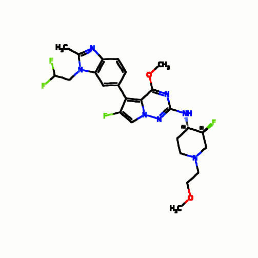 COCCN1CC[C@H](Nc2nc(OC)c3c(-c4ccc5nc(C)n(CC(F)F)c5c4)c(F)cn3n2)[C@@H](F)C1